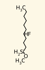 CCCCCCCCCC[SiH2]OC.F